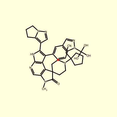 CN1C(=O)C2(CCN(C3(CC#N)CCCC3)CC2)c2c1cnc1[nH]c(-c3cnn4c3CCC4)c(-c3ccc4c(cnn4C(O)(O)O)c3)c21